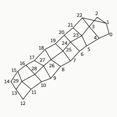 C1C2CC34C1C1C5C6C7C8C9C%10CC%11CC%12C%13C%14C%15C%16C%17C(C23)C14C5%17C6%16C7%15C8%14C9%13C%11%10%12